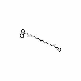 O=CCCCCCCCCCCCCCCCCC(=O)Cl